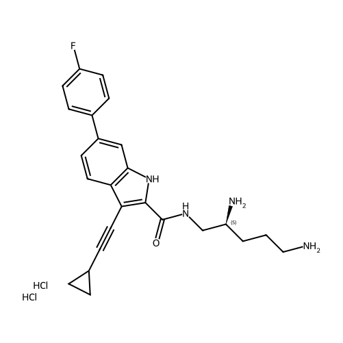 Cl.Cl.NCCC[C@H](N)CNC(=O)c1[nH]c2cc(-c3ccc(F)cc3)ccc2c1C#CC1CC1